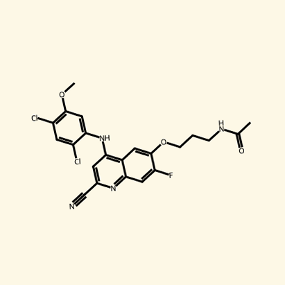 COc1cc(Nc2cc(C#N)nc3cc(F)c(OCCCNC(C)=O)cc23)c(Cl)cc1Cl